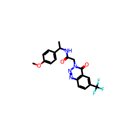 COc1ccc(C(C)NC(=O)Cn2nnc3ccc(C(F)(F)F)cc3c2=O)cc1